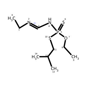 CC/N=C/NP(=S)(OCC)SCC(C)C